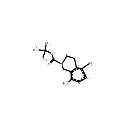 CC(C)(C)OC(=O)N1CCc2c(Br)ccc(N)c2C1